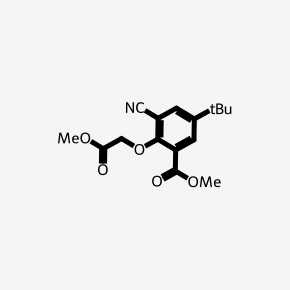 COC(=O)COc1c(C#N)cc(C(C)(C)C)cc1C(=O)OC